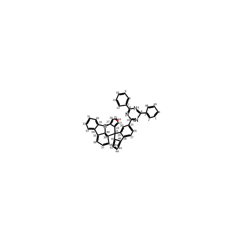 c1ccc(-c2nc(-c3ccccc3)nc(-c3ccc4c(c3)C3(c5ccccc5B5c6ccccc6-c6cccc3c65)c3ccccc3-4)n2)cc1